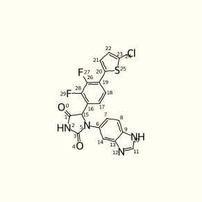 O=C1NC(=O)N(c2ccc3[nH]cnc3c2)C1c1ccc(-c2ccc(Cl)s2)c(F)c1F